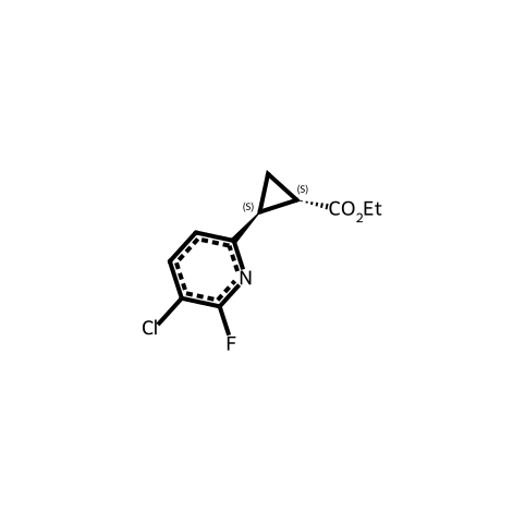 CCOC(=O)[C@H]1C[C@@H]1c1ccc(Cl)c(F)n1